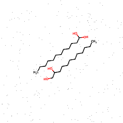 CCCCCCCCCCC(O)CO.CCCCCCCCCCCC(O)O